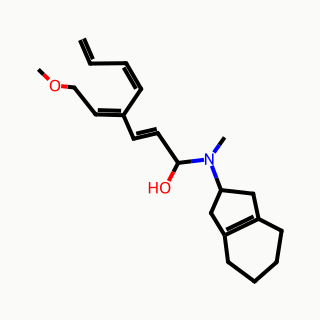 C=C\C=C/C(/C=C/C(O)N(C)C1CC2=C(CCCC2)C1)=C\COC